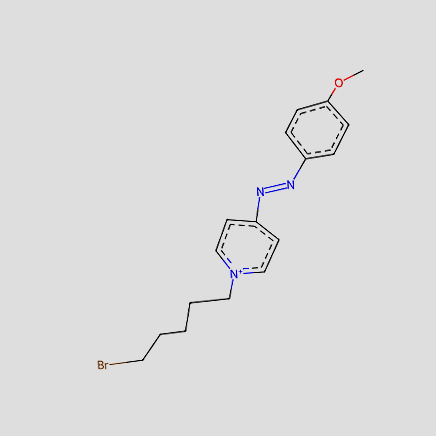 COc1ccc(/N=N/c2cc[n+](CCCCCBr)cc2)cc1